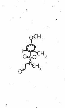 COc1cc(C)c(S(=O)(=O)N(C)CC=O)c(I)c1